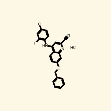 Cl.N#Cc1cc(Nc2ccc(Cl)cc2F)c2ccc(OCc3ccccc3)cc2n1